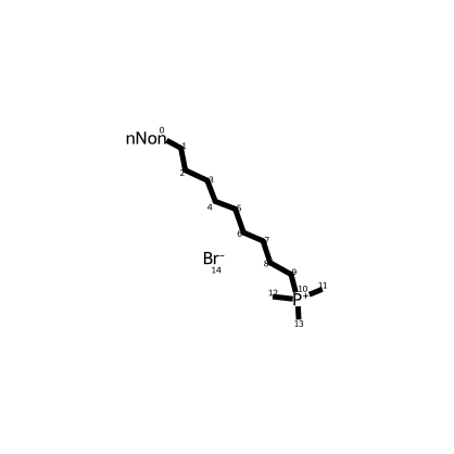 CCCCCCCCCCCCCCCCCC[P+](C)(C)C.[Br-]